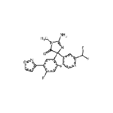 CN1C(=O)C(c2ccnc(C(F)F)c2)(c2cc(-c3ccon3)c(F)cc2F)N=C1N